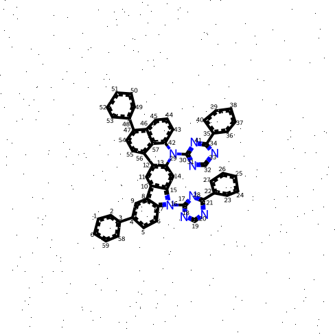 c1ccc(-c2ccc3c(c2)c2cc4c(cc2n3-c2ncnc(-c3ccccc3)n2)N(c2ncnc(-c3ccccc3)n2)c2cccc3c(-c5ccccc5)ccc-4c23)cc1